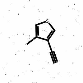 C#Cc1cscc1[CH2]